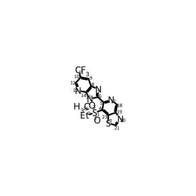 CCS(=O)(=O)c1c(-c2nc3cc(C(F)(F)F)cnc3n2C)ncc2ncsc12